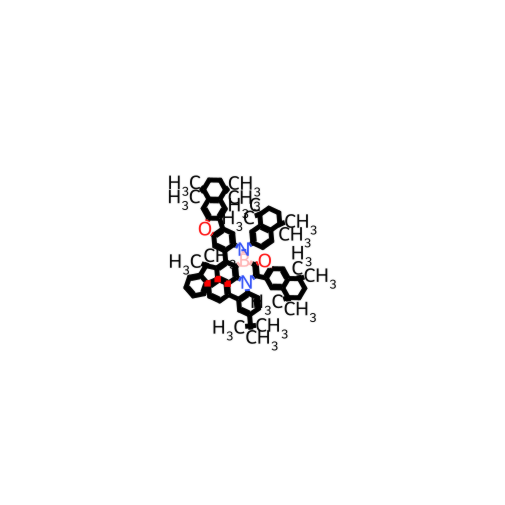 CC(C)(C)c1ccc(N2c3cc4c(c5c3B(c3oc6cc7c(cc6c32)C(C)(C)CCC7(C)C)N(c2ccc3c(c2)C(C)(C)CCC3(C)C)c2cc3c(cc2-5)oc2cc5c(cc23)C(C)(C)CCC5(C)C)C(C)(C)c2ccccc2-4)c(-c2ccccc2)c1